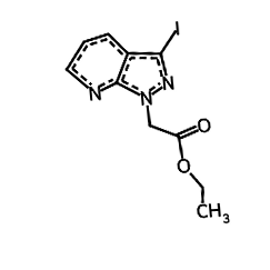 CCOC(=O)Cn1nc(I)c2cccnc21